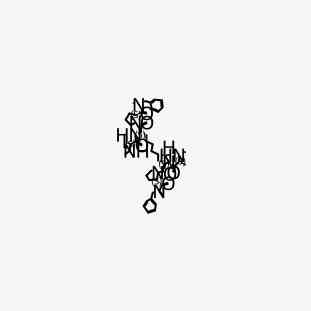 CN[C@@H](C)C(=O)N[C@@H](CCCCCC[C@H](NC(=O)[C@H](I)NC)C(=O)N1CCC[C@H]1C(=O)N(C)Cc1ccccc1)C(=O)N1CCC[C@H]1C(=O)N(C)Cc1ccccc1